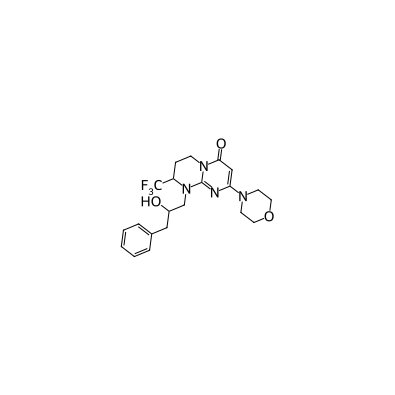 O=c1cc(N2CCOCC2)nc2n1CCC(C(F)(F)F)N2CC(O)Cc1ccccc1